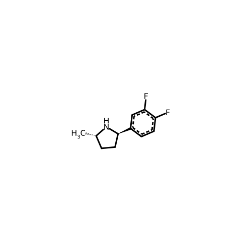 C[C@H]1CC[C@H](c2ccc(F)c(F)c2)N1